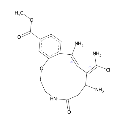 COC(=O)c1ccc2c(c1)OCCNC(=O)CC(N)C(=C(/N)Cl)/C=C/2N